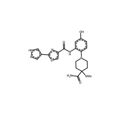 CNC1(C(N)=O)CCN(c2ccc(O)cc2NC(=O)c2csc(-c3cn[nH]c3)n2)CC1